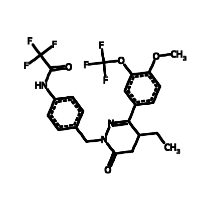 CCC1CC(=O)N(Cc2ccc(NC(=O)C(F)(F)F)cc2)N=C1c1ccc(OC)c(OC(F)(F)F)c1